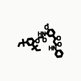 CCC(C)(C)c1ccc(OCC(=O)Nc2cc(C(=O)CC(=O)Nc3ccccc3)ccc2OC)c(C(C)(C)CC)c1